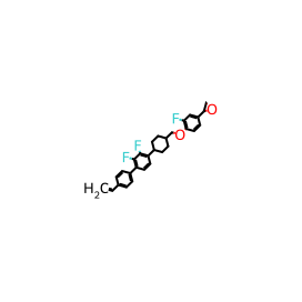 C=Cc1ccc(-c2ccc(C3CCC(COc4ccc(C5CO5)cc4F)CC3)c(F)c2F)cc1